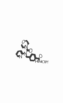 O=C(NO)c1ccc(CN(C(=O)N2CCOCC2)c2ccccn2)cc1